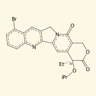 CC[C@@]1(OC(C)C)C(=O)OCc2c1cc1n(c2=O)Cc2cc3c(Br)cccc3nc2-1